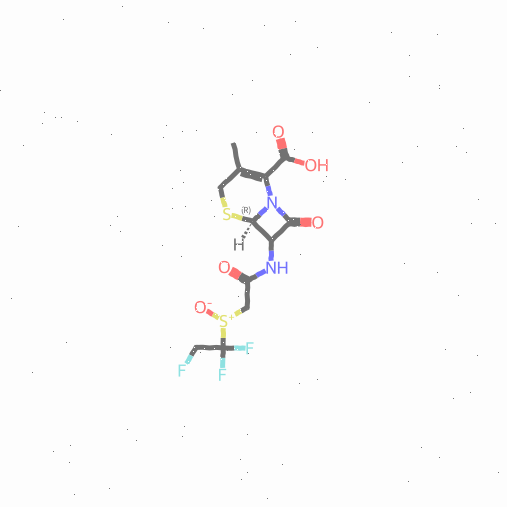 CC1=C(C(=O)O)N2C(=O)C(NC(=O)C[S+]([O-])C(F)(F)CF)[C@H]2SC1